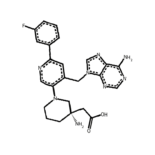 Nc1ncnc2c1ncn2Cc1cc(-c2cccc(F)c2)ncc1N1CCC[C@](N)(CC(=O)O)C1